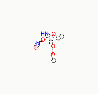 O=C(Cc1ccc2ccccc2c1)C1CNCC(COCCN2CCOCC2)C1c1ccc(OCCCOCc2ccccc2)cc1